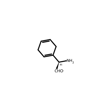 N[C@@H]([C]=O)C1=CCC=CC1